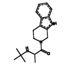 CC(NC(C)(C)C)C(=O)N1CCc2c([nH]c3ccccc23)C1